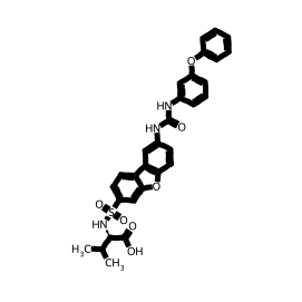 CC(C)[C@H](NS(=O)(=O)c1ccc2c(c1)oc1ccc(NC(=O)Nc3cccc(Oc4ccccc4)c3)cc12)C(=O)O